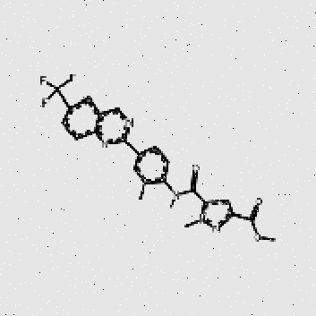 COC(=O)c1cc(C(=O)N(C)c2ccc(-c3ncc4cc(C(F)(F)F)ccc4n3)cc2C)n(C)n1